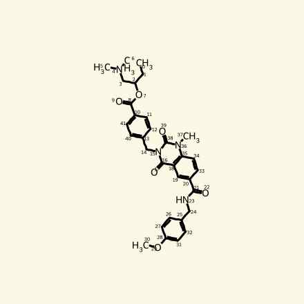 CCC(CN(C)C)OC(=O)c1ccc(Cn2c(=O)c3cc(C(=O)NCc4ccc(OC)cc4)ccc3n(C)c2=O)cc1